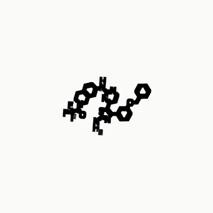 Nc1nc(-c2cccc(OCc3ccccc3)c2)c(-c2ccnc(Nc3ccc4c(c3)CN(C(=O)C(F)(F)F)CC4)n2)s1